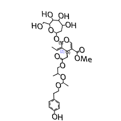 C/C=C1\[C@H](OC2CC(O)C(O)C(O)C(CO)O2)OC=C(C(=O)OC)[C@H]1CC(=O)OCC(C)OC(C)OCCc1ccc(O)cc1